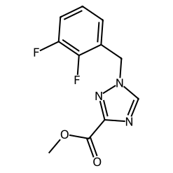 COC(=O)c1ncn(Cc2cccc(F)c2F)n1